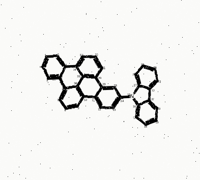 c1ccc2c(c1)c1cccc3c4ccc(-n5c6ccccc6c6ccccc65)cc4c4cccc2c4c13